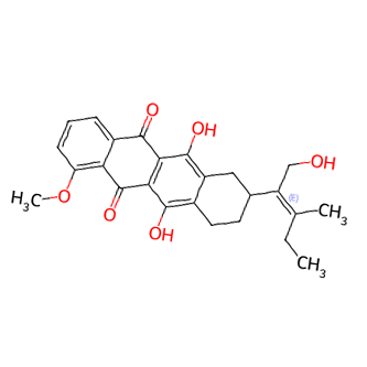 CC/C(C)=C(/CO)C1CCc2c(O)c3c(c(O)c2C1)C(=O)c1cccc(OC)c1C3=O